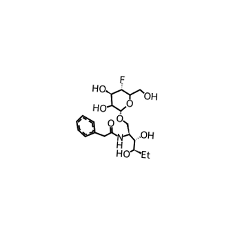 CC[C@@H](O)[C@@H](O)[C@H](CO[C@H]1OC(CO)[C@@H](F)[C@H](O)C1O)NC(=O)Cc1ccccc1